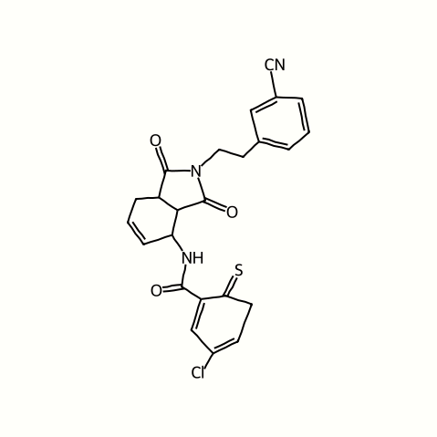 N#Cc1cccc(CCN2C(=O)C3CC=CC(NC(=O)C4=CC(Cl)=CCC4=S)C3C2=O)c1